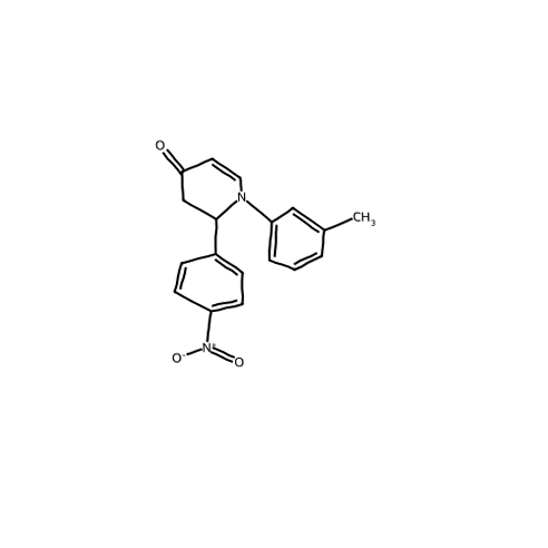 Cc1cccc(N2C=CC(=O)CC2c2ccc([N+](=O)[O-])cc2)c1